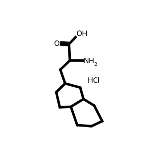 Cl.NC(CC1CCC2CCCCC2C1)C(=O)O